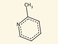 Cc1ccc[c]n1